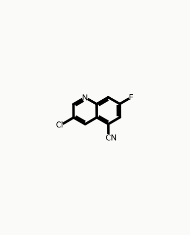 N#Cc1cc(F)cc2ncc(Cl)cc12